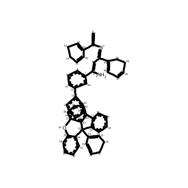 C=C(/N=C(\C=C(/N)c1cccc(-c2cccc(-c3ccccc3C3(C4=CCCC=C4)c4ccccc4Oc4ccccc43)c2)c1)C1=CC=CCC1)C1=CCCC=C1